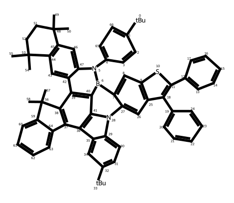 CC(C)(C)c1ccc(N2B3c4cc5sc(-c6ccccc6)c(-c6ccccc6)c5cc4-n4c5ccc(C(C)(C)C)cc5c5c6c(c(c3c54)-c3cc4c(cc32)C(C)(C)CCC4(C)C)C(C)(C)c2ccccc2-6)cc1